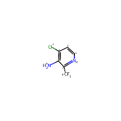 Nc1c(Cl)ccnc1C(F)(F)F